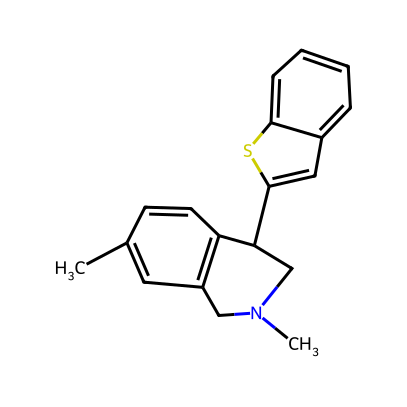 Cc1ccc2c(c1)CN(C)CC2c1cc2ccccc2s1